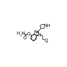 COCCn1c(C2CCNC2)nc2c(OC(N)=O)cccc21